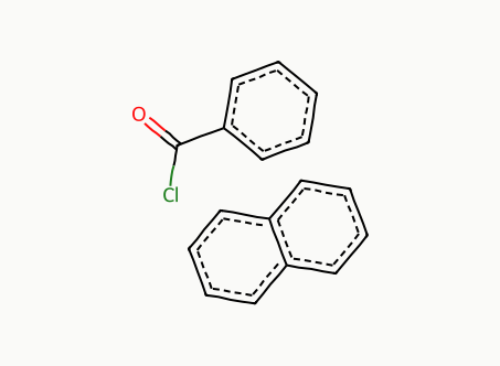 O=C(Cl)c1ccccc1.c1ccc2ccccc2c1